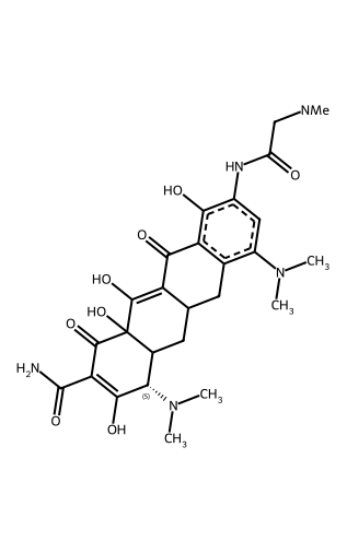 CNCC(=O)Nc1cc(N(C)C)c2c(c1O)C(=O)C1=C(O)C3(O)C(=O)C(C(N)=O)=C(O)[C@@H](N(C)C)C3CC1C2